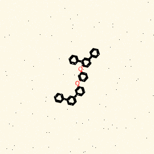 c1ccc(-c2cccc(-c3cccc(Oc4cccc(Oc5ccc(-c6ccccc6)cc5-c5ccccc5)c4)c3)c2)cc1